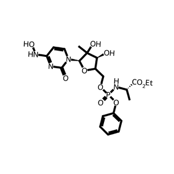 CCOC(=O)[C@H](C)NP(=O)(OCC1O[C@@H](n2ccc(NO)nc2=O)C(C)(O)[C@H]1O)Oc1ccccc1